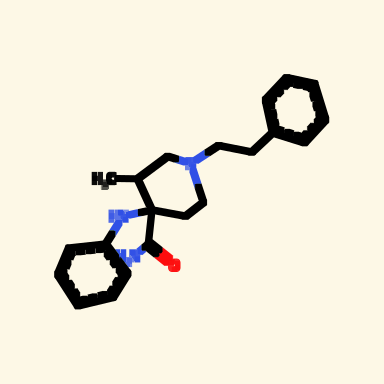 CC1CN(CCc2ccccc2)CCC1(Nc1ccccc1)C(N)=O